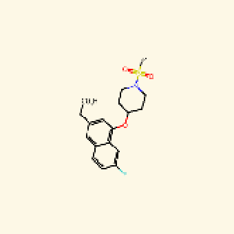 CC(C)S(=O)(=O)N1CCC(Oc2cc(CC(=O)O)cc3ccc(F)cc23)CC1